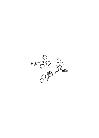 CCCCN1C(=CC=CC=CC2=[N+](CCCC)c3ccc4ccccc4c3C2(C)C)C(C)(C)c2c1ccc1ccccc21.[BH3-]CCCC(c1ccccc1)(c1ccccc1)c1ccccc1